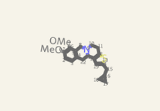 COc1ccc2c(c1OC)CN1CCc3sc(CC4CC4)cc3C1C2